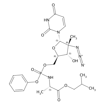 CC(C)COC(=O)[C@H](C)NP(=O)(OC[C@H]1O[C@H](n2ccc(=O)[nH]c2=O)[C@](C)(N=[N+]=[N-])[C@@H]1O)Oc1ccccc1